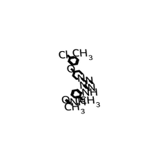 CC(=O)Nc1cccc(Nc2ncnc(N3CCC(Oc4ccc(C)c(Cl)c4)CC3)n2)c1C